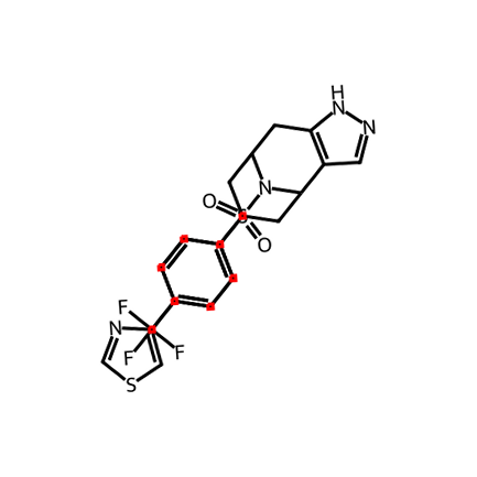 O=S(=O)(c1ccc(C(F)(F)F)cc1)N1C2Cc3[nH]ncc3C1CC(c1ccc(-c3cscn3)cc1)C2